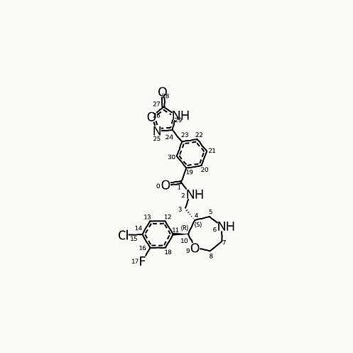 O=C(NC[C@@H]1CNCCO[C@H]1c1ccc(Cl)c(F)c1)c1cccc(-c2noc(=O)[nH]2)c1